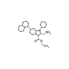 CCOC(=O)c1c(CN)n(-c2ccccc2)c2cc(-c3cccc4ccccc34)ccc12